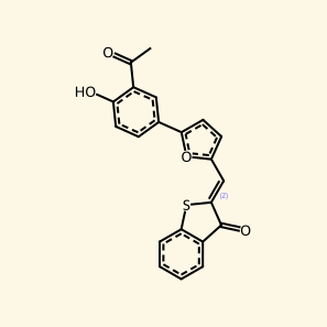 CC(=O)c1cc(-c2ccc(/C=C3\Sc4ccccc4C3=O)o2)ccc1O